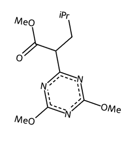 COC(=O)C(CC(C)C)c1nc(OC)nc(OC)n1